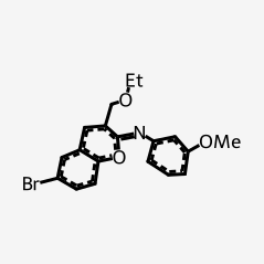 CCOCc1cc2cc(Br)ccc2oc1=Nc1cccc(OC)c1